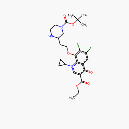 CCOC(=O)c1cn(C2CC2)c2c(OCCC3CN(C(=O)OC(C)(C)C)CCN3)c(F)c(F)cc2c1=O